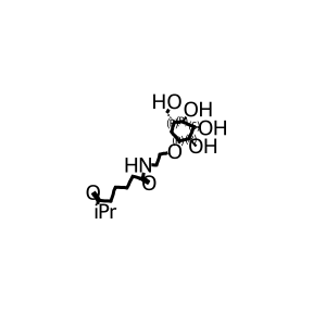 CC(C)C(=O)CCCCC(=O)NCCO[C@@H]1C[C@H](CO)[C@@H](O)[C@H](O)[C@H]1O